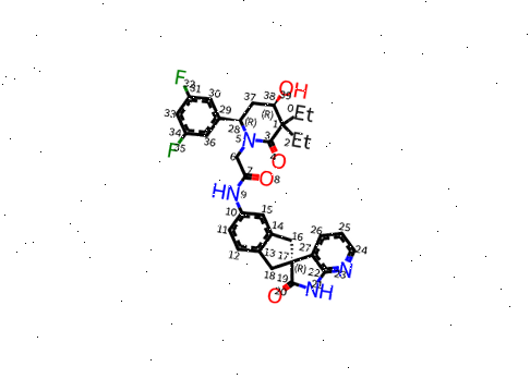 CCC1(CC)C(=O)N(CC(=O)Nc2ccc3c(c2)C[C@@]2(C3)C(=O)Nc3ncccc32)[C@@H](c2cc(F)cc(F)c2)C[C@H]1O